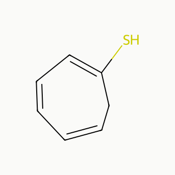 SC1=CC=CC=CC1